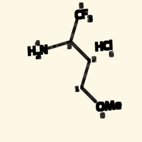 COCCC(N)C(F)(F)F.Cl